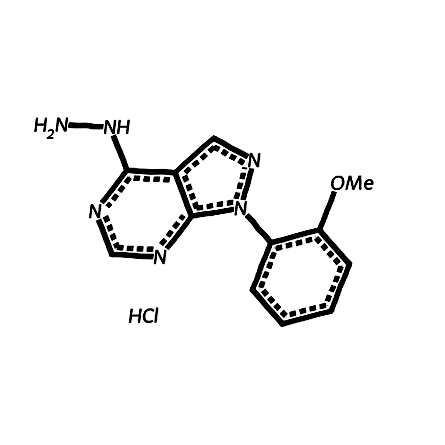 COc1ccccc1-n1ncc2c(NN)ncnc21.Cl